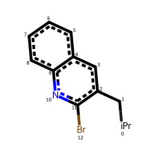 CC(C)Cc1cc2ccccc2nc1Br